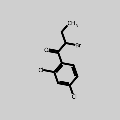 CCC(Br)C(=O)c1ccc(Cl)cc1Cl